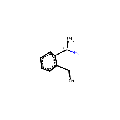 CCc1ccccc1[C@@H](C)N